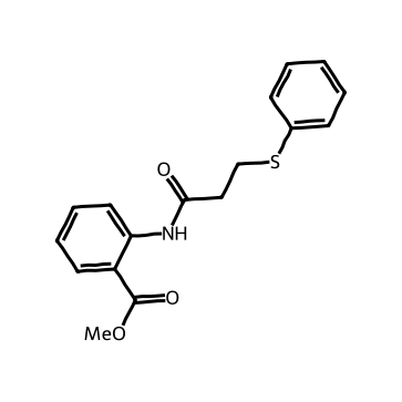 COC(=O)c1ccccc1NC(=O)CCSc1ccccc1